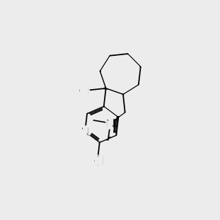 CN(C)CC1CCCCCC1(Cl)c1ccc(Cl)nc1